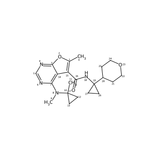 Cc1oc2ncnc(N(C)C3(C)CC3)c2c1C(=O)NC1(C2CCOCC2)CC1